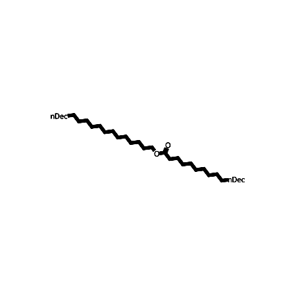 CCCCCCCCCCCCCCCCCCCCCCCOC(=O)CCCCCCCCCCCCCCCCCCC